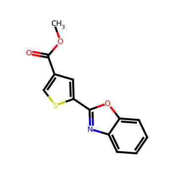 COC(=O)c1csc(-c2nc3ccccc3o2)c1